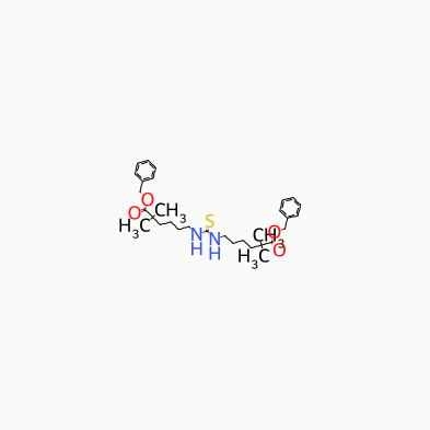 CC(C)(CCCCNC(=S)NCCCCC(C)(C)C(=O)OCc1ccccc1)C(=O)OCc1ccccc1